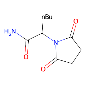 CCCCC(C(N)=O)N1C(=O)CCC1=O